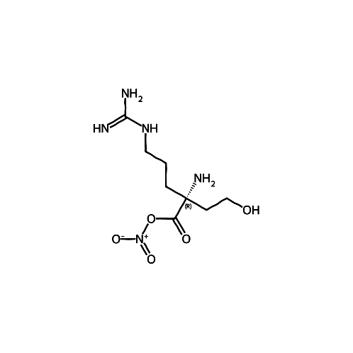 N=C(N)NCCC[C@@](N)(CCO)C(=O)O[N+](=O)[O-]